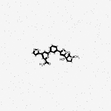 CN1CC[C@@](O)(c2cc(-c3cccc(-c4cc(-c5ccns5)cc(C(N)=O)n4)c3)no2)C1=O